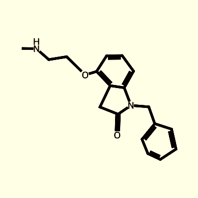 CNCCOc1cccc2c1CC(=O)N2Cc1ccccc1